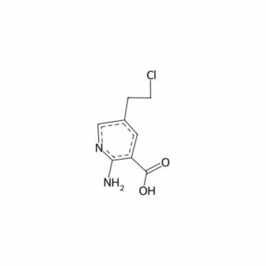 Nc1ncc(CCCl)cc1C(=O)O